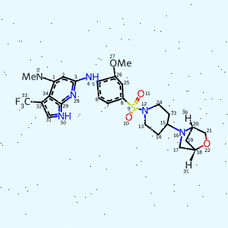 CNc1cc(Nc2ccc(S(=O)(=O)N3CCC(N4C[C@@H]5C[C@H]4CO5)CC3)cc2OC)nc2[nH]cc(C(F)(F)F)c12